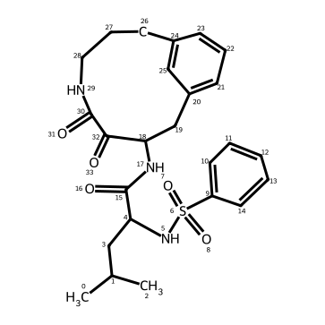 CC(C)CC(NS(=O)(=O)c1ccccc1)C(=O)NC1Cc2cccc(c2)CCCNC(=O)C1=O